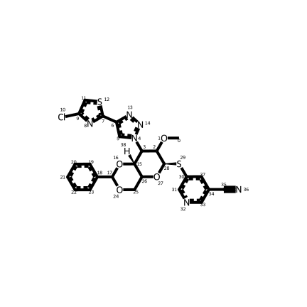 COC1C(n2cc(-c3nc(Cl)cs3)nn2)[C@H]2OC(c3ccccc3)OCC2O[C@@H]1Sc1cncc(C#N)c1